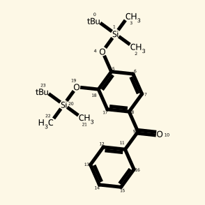 CC(C)(C)[Si](C)(C)Oc1ccc(C(=O)c2ccccc2)cc1O[Si](C)(C)C(C)(C)C